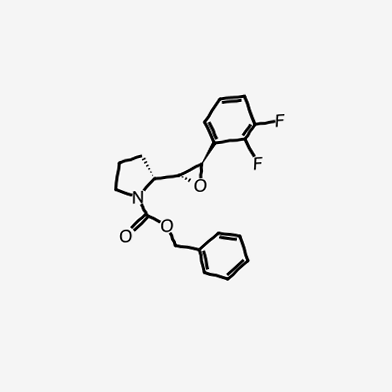 O=C(OCc1ccccc1)N1CCC[C@@H]1[C@H]1O[C@@H]1c1cccc(F)c1F